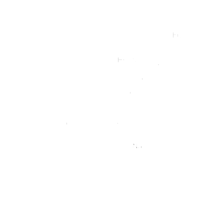 CC(OCCOc1ccccc1)OC(C)(C(C)(C)CC(C)(C)C)S(=O)(=O)O.[Na]